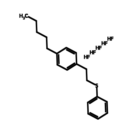 CCCCCc1ccc(CCSc2ccccc2)cc1.F.F.F.F.F